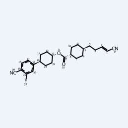 N#CC=CCC[C@H]1CC[C@H](C(=O)O[C@H]2CC[C@H](c3ccc(C#N)c(F)c3)CC2)CC1